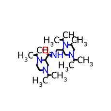 CC(C)N1CCN(C(C)C)C(C(=O)NCC2CN(C(C)C)CC(C)N2C(C)C)C1